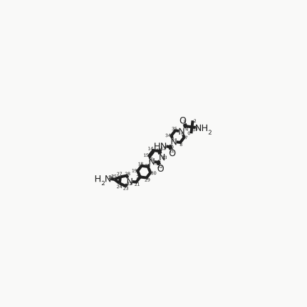 CC(C)(N)C(=O)N1CCN(C(=O)Nc2ccn(C3CCC(CN4CC5C(N)C5C4)CC3)c(=O)n2)CC1